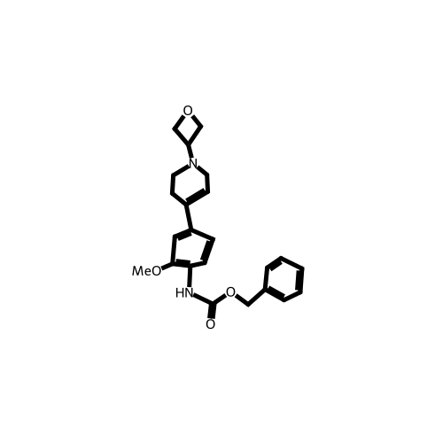 COc1cc(C2=CCN(C3COC3)CC2)ccc1NC(=O)OCc1ccccc1